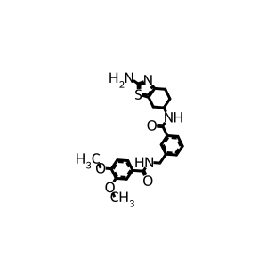 COc1ccc(C(=O)NCc2cccc(C(=O)NC3CCc4nc(N)sc4C3)c2)cc1OC